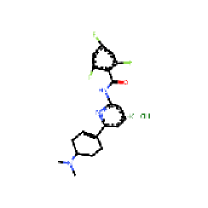 CN(C)C1CC=C(c2cccc(NC(=O)c3c(F)cc(F)cc3F)n2)CC1.Cl.Cl